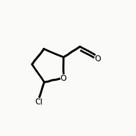 O=CC1CCC(Cl)O1